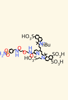 CCCC[N+]1=C(/C=C/C(=C/C=C2/N(CCCS(=O)(=O)O)c3ccc4c(S(=O)(=O)O)cc(S(=O)(=O)O)cc4c3C2(C)C)c2ccc(C(=O)NCCOCCC(=O)NCc3ccc(S(N)(=O)=O)cc3)cn2)C(C)(C)c2c1ccc1ccc(S(=O)(=O)O)cc21